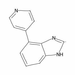 [c]1nc2c(-c3ccncc3)cccc2[nH]1